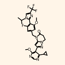 COc1cc(CN2C(=O)CCn3nc(-c4c(OC)ncnc4C4CC4)cc32)cc(F)c1-c1nc(C(F)(F)F)cn1C(C)C